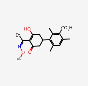 CCO/N=C(/CC)C1=C(O)CC(c2c(C)cc(C)c(C(=O)O)c2C)CC1=O